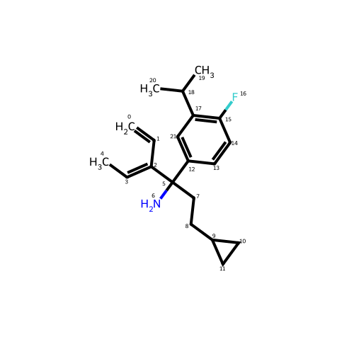 C=C/C(=C\C)C(N)(CCC1CC1)c1ccc(F)c(C(C)C)c1